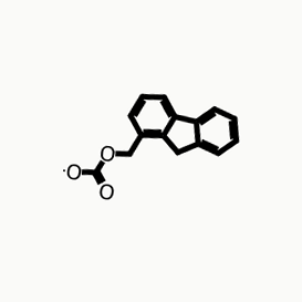 [O]C(=O)OCc1cccc2c1Cc1ccccc1-2